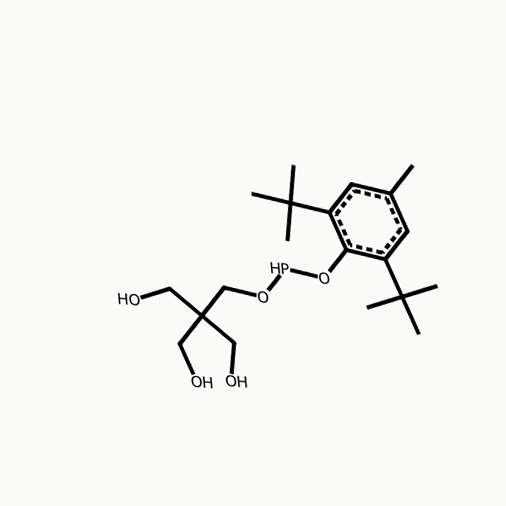 Cc1cc(C(C)(C)C)c(OPOCC(CO)(CO)CO)c(C(C)(C)C)c1